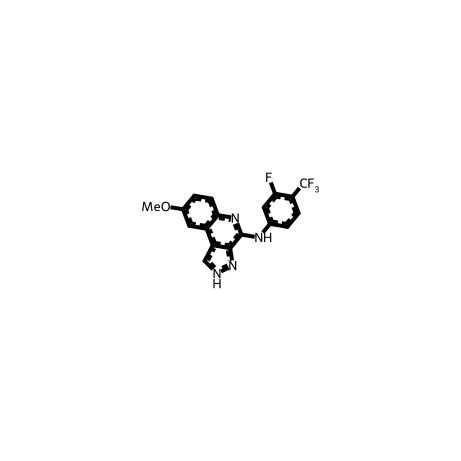 COc1ccc2nc(Nc3ccc(C(F)(F)F)c(F)c3)c3n[nH]cc3c2c1